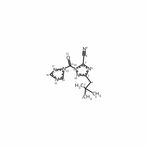 CC(C)(C)Cc1nc(C#N)n(C(=O)n2cncn2)n1